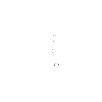 CC1C(=O)N2C(CCCN3CCC4(CC4)[C@H](O)C3)CCC2CN1C(=O)OCc1ccccc1